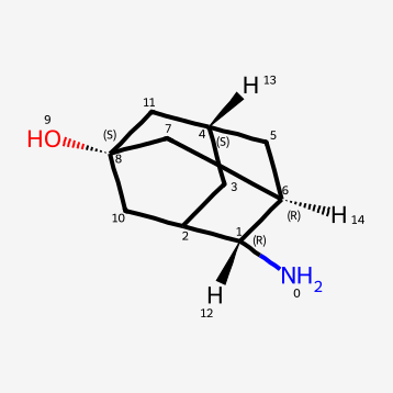 N[C@@H]1C2C[C@H]3C[C@@H]1C[C@@](O)(C2)C3